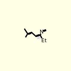 C=N/C(=C\C=C(C)C)CC